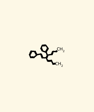 C=CC=CC(C=Cc1ccccc1)=C(C=CC=C)c1ccccc1